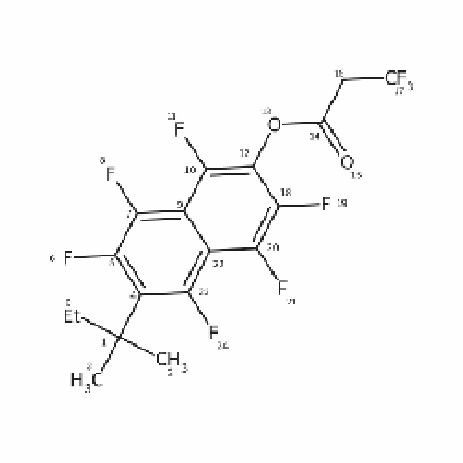 CCC(C)(C)c1c(F)c(F)c2c(F)c(OC(=O)CC(F)(F)F)c(F)c(F)c2c1F